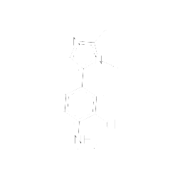 Cc1ncc(-c2ccc(N)c(Cl)c2)n1C